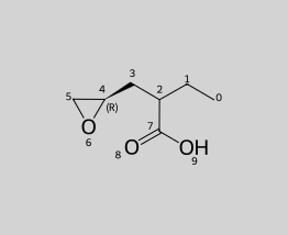 CCC(C[C@@H]1CO1)C(=O)O